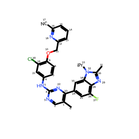 Cc1cnc(Nc2ccc(OCc3cccc(C#N)n3)c(Cl)c2)nc1-c1cc(F)c2nc(C)n(C(C)C)c2c1